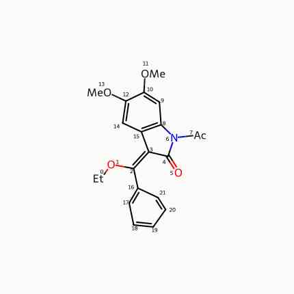 CCOC(=C1C(=O)N(C(C)=O)c2cc(OC)c(OC)cc21)c1ccccc1